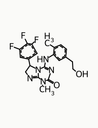 Cc1ccc(CCO)cc1NC1=NC(=O)N(C)C2=NCC(c3cc(F)c(F)c(F)c3)N12